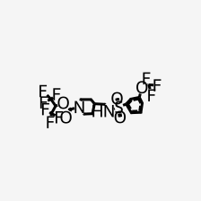 O=C(OC(C(F)(F)F)C(F)(F)F)N1CCC(CNS(=O)(=O)c2cccc(OC(F)(F)F)c2)CC1